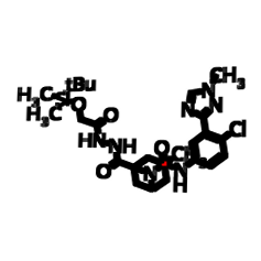 CC1CC2CC(C(=O)NNC(=O)CO[Si](C)(C)C(C)(C)C)(C1)N2C(=O)Nc1ccc(Cl)c(-c2ncn(C)n2)c1